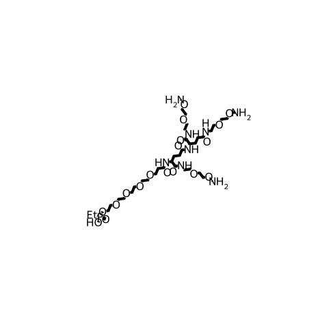 CCP(=O)(O)OCCOCCOCCOCCOCCC(=O)NC(CCC(=O)NC(CCC(=O)NCCOCCON)C(=O)NCCOCCON)C(=O)NCCOCCON